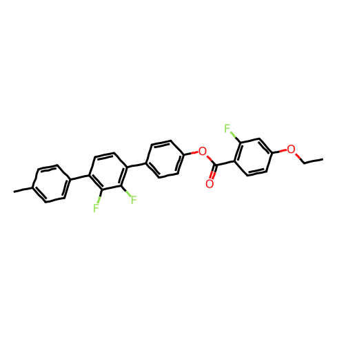 CCOc1ccc(C(=O)Oc2ccc(-c3ccc(-c4ccc(C)cc4)c(F)c3F)cc2)c(F)c1